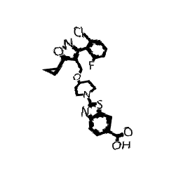 O=C(O)c1ccc2nc(N3CCC(OCc4c(-c5c(F)cccc5Cl)noc4C4CC4)CC3)sc2c1